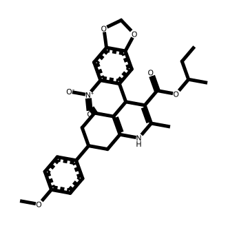 CCC(C)OC(=O)C1=C(C)NC2=C(C(=O)CC(c3ccc(OC)cc3)C2)C1c1cc2c(cc1[N+](=O)[O-])OCO2